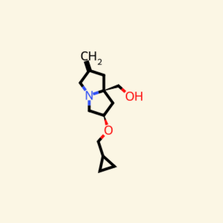 C=C1CN2C[C@H](OCC3CC3)C[C@@]2(CO)C1